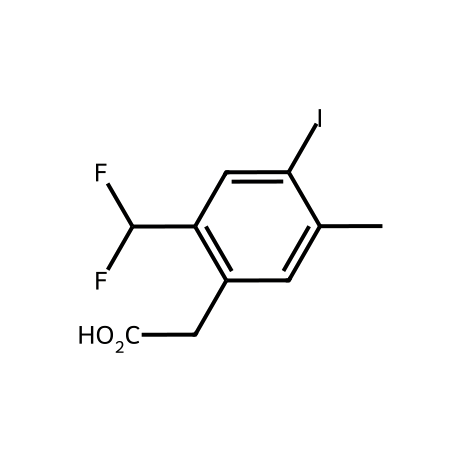 Cc1cc(CC(=O)O)c(C(F)F)cc1I